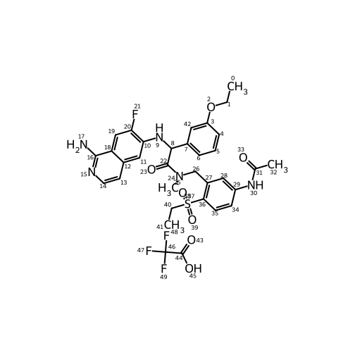 CCOc1cccc(C(Nc2cc3ccnc(N)c3cc2F)C(=O)N(C)Cc2cc(NC(C)=O)ccc2S(=O)(=O)CC)c1.O=C(O)C(F)(F)F